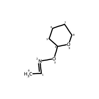 C/C=N/OC1CCCCO1